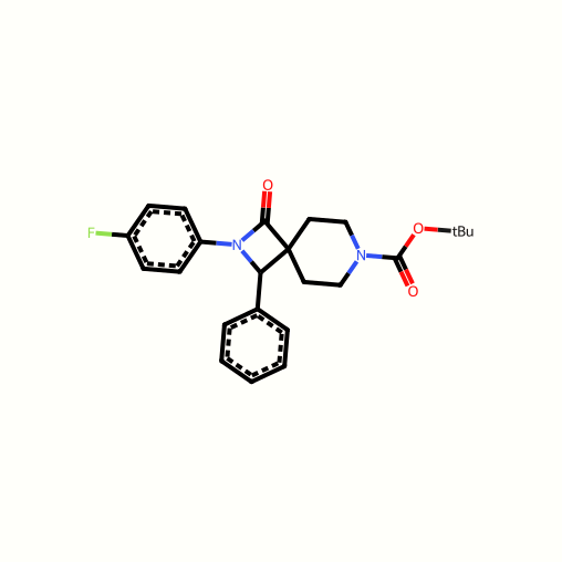 CC(C)(C)OC(=O)N1CCC2(CC1)C(=O)N(c1ccc(F)cc1)C2c1ccccc1